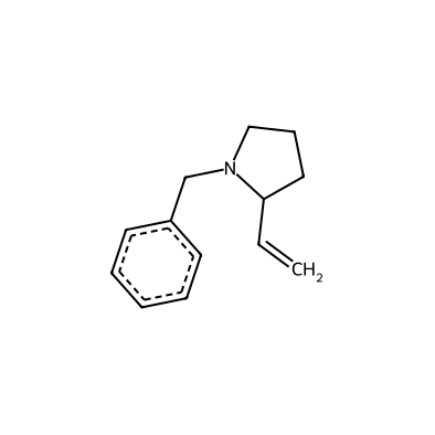 C=CC1CCCN1Cc1ccccc1